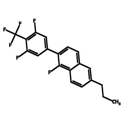 CCCc1ccc2c(F)c(-c3cc(F)c(C(F)(F)F)c(F)c3)ccc2c1